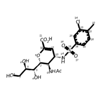 CC(=O)N[C@H]1[C@H]([C@H](O)[C@H](O)CO)OC(C(=O)O)=C[C@@H]1NS(=O)(=O)c1ccc(C)c(Cl)c1